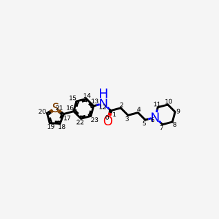 O=C(CCCCN1CCCCC1)Nc1ccc(-c2cccs2)cc1